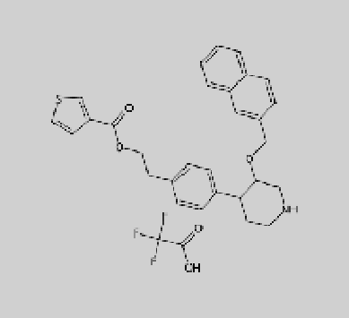 O=C(O)C(F)(F)F.O=C(OCCc1ccc(C2CCNCC2OCc2ccc3ccccc3c2)cc1)c1ccsc1